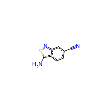 N#Cc1ccc2c(N)snc2c1